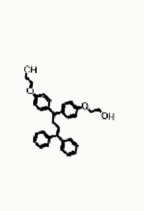 OCCOc1ccc(C(CCC(c2ccccc2)c2ccccc2)c2ccc(OCCO)cc2)cc1